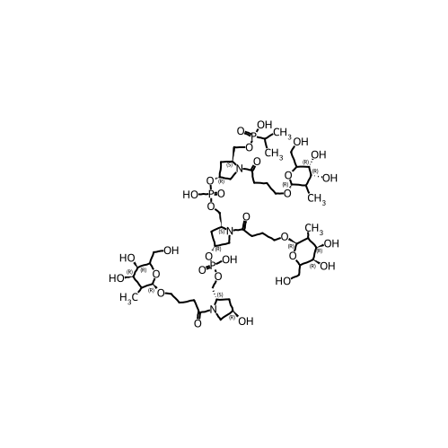 CC1[C@H](OCCCC(=O)N2C[C@H](O)C[C@H]2COP(=O)(O)O[C@@H]2C[C@@H](COP(=O)(O)O[C@@H]3C[C@@H](COP(=O)(O)C(C)C)N(C(=O)CCCO[C@@H]4OC(CO)[C@H](O)[C@H](O)C4C)C3)N(C(=O)CCCO[C@@H]3OC(CO)[C@H](O)[C@H](O)C3C)C2)OC(CO)[C@H](O)[C@@H]1O